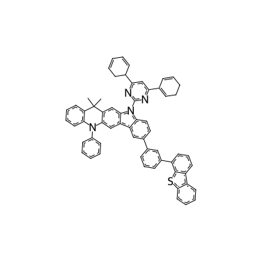 CC1(C)c2ccccc2N(c2ccccc2)c2cc3c4cc(-c5cccc(-c6cccc7c6sc6ccccc67)c5)ccc4n(-c4nc(C5=CCCC=C5)cc(C5C=CC=CC5)n4)c3cc21